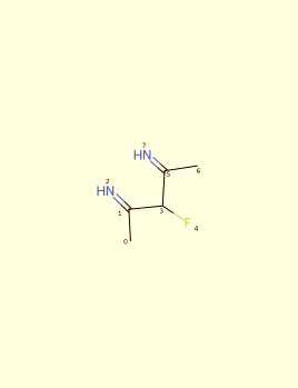 CC(=N)C(F)C(C)=N